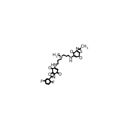 Cc1nc2c(s1)C(=O)C=C(NCCCN(C)CCCNC1=CC(=O)c3nc(-c4cc(F)ccc4F)oc3C1=O)C2=O